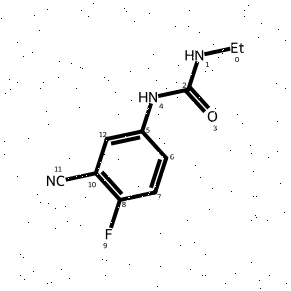 CCNC(=O)Nc1ccc(F)c(C#N)c1